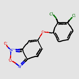 [O-][n+]1onc2c[c]c(Oc3cccc(Cl)c3Cl)cc21